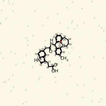 Cc1ccc(C(NC(=O)Cc2ccc3[nH]cc(CCC(=O)O)c3c2)c2ccccc2)c(N2CCCCCC2)c1